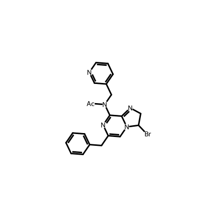 CC(=O)N(Cc1cccnc1)C1=NC(Cc2ccccc2)=CN2C1=NCC2Br